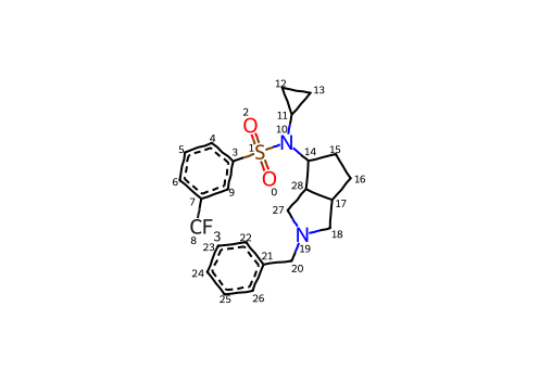 O=S(=O)(c1cccc(C(F)(F)F)c1)N(C1CC1)C1CCC2CN(Cc3ccccc3)CC21